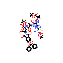 CC(C)(C)OC(=O)Nc1nc(/C(=N/OC2(C(=O)OC(C)(C)C)CC2)C(=O)N[C@H]2CON(C3(C(=O)OC(C)(C)C)C[C@H](N4C(=O)c5cc6c(cc5C4=O)OC(c4ccccc4)(c4ccccc4)O6)C(=O)O3)C2=O)ns1